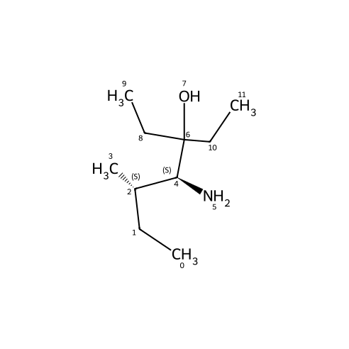 CC[C@H](C)[C@H](N)C(O)(CC)CC